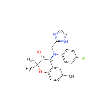 CC1(C)Oc2ccc(C#N)cc2[C@H](N(Cc2ncc[nH]2)c2ccc(F)cc2)[C@H]1O